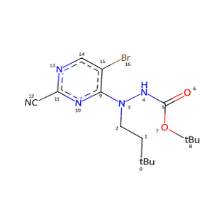 CC(C)(C)CCN(NC(=O)OC(C)(C)C)c1nc(C#N)ncc1Br